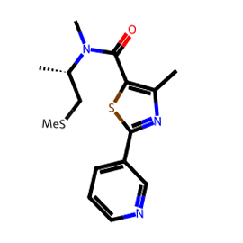 CSC[C@H](C)N(C)C(=O)c1sc(-c2cccnc2)nc1C